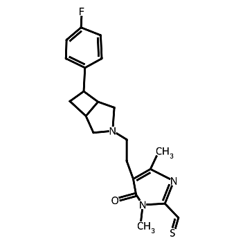 Cc1nc(C=S)n(C)c(=O)c1CCN1CC2CC(c3ccc(F)cc3)C2C1